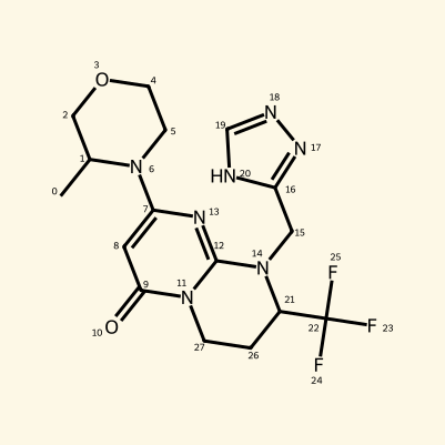 CC1COCCN1c1cc(=O)n2c(n1)N(Cc1nnc[nH]1)C(C(F)(F)F)CC2